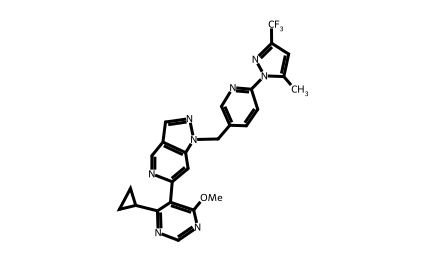 COc1ncnc(C2CC2)c1-c1cc2c(cn1)cnn2Cc1ccc(-n2nc(C(F)(F)F)cc2C)nc1